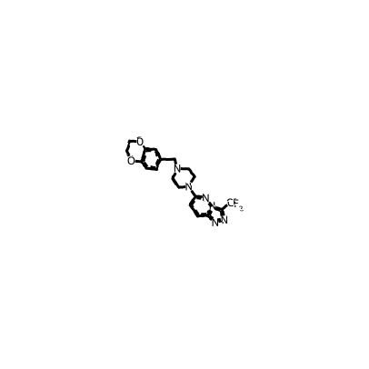 FC(F)(F)c1nnc2ccc(N3CCN(Cc4ccc5c(c4)OCCO5)CC3)nn12